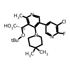 Cc1ncc(-c2cnc(F)c(Cl)c2)c(N2CCC(C)(C)CC2)c1[C@H](OC(C)(C)C)C(=O)O